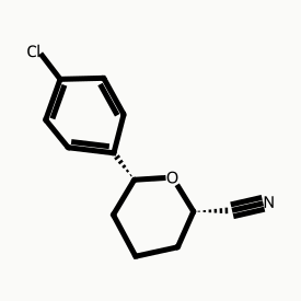 N#C[C@@H]1CCC[C@H](c2ccc(Cl)cc2)O1